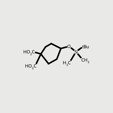 CC(C)(C)[Si](C)(C)OC1CCC(C(=O)O)(C(=O)O)CC1